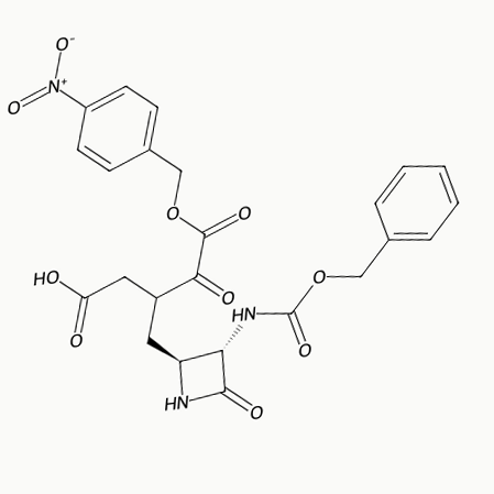 O=C(O)CC(C[C@@H]1NC(=O)[C@H]1NC(=O)OCc1ccccc1)C(=O)C(=O)OCc1ccc([N+](=O)[O-])cc1